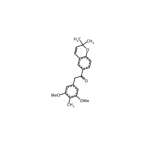 COc1cc(CC(=O)c2ccc3c(c2)C=CC(C)(C)O3)cc(OC)c1C